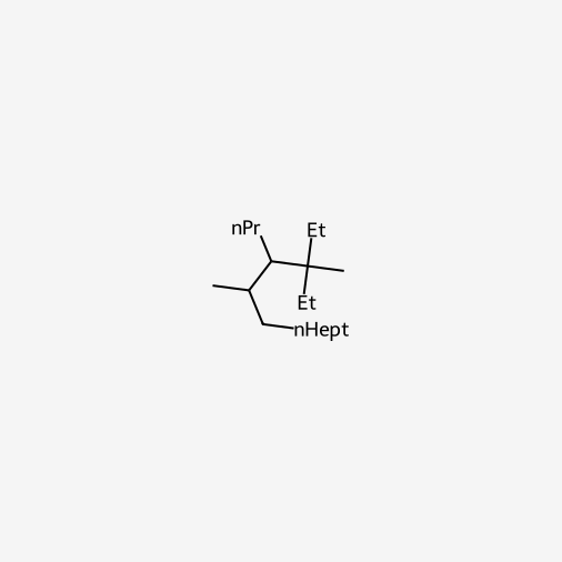 CCCCCCCCC(C)C(CCC)C(C)(CC)CC